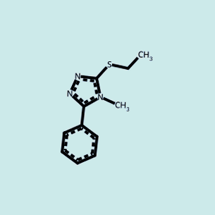 CCSc1nnc(-c2ccccc2)n1C